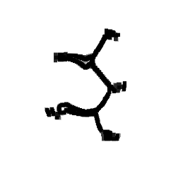 C=C(NC(=N)C(C)C)C(C)CC